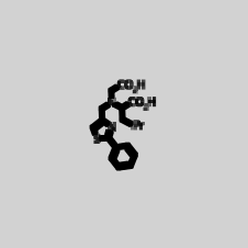 CC(C)CC(C(=O)O)N(CC(=O)O)Cc1csc(-c2ccccc2)n1